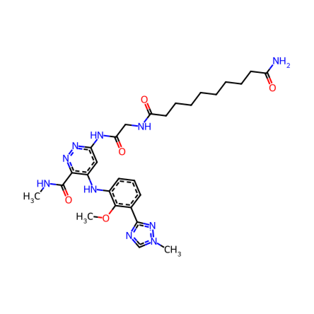 CNC(=O)c1nnc(NC(=O)CNC(=O)CCCCCCCCC(N)=O)cc1Nc1cccc(-c2ncn(C)n2)c1OC